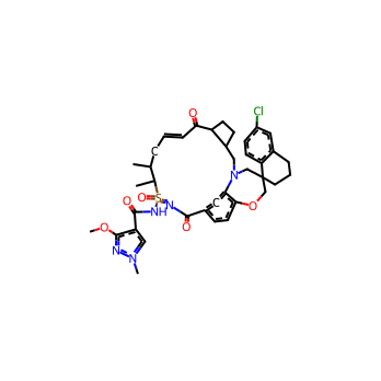 COc1nn(C)cc1C(=O)NS1(=O)=NC(=O)c2ccc3c(c2)N(CC2CCC2C(=O)/C=C/CC(C)C1C)CC1(CCCc2cc(Cl)ccc21)CO3